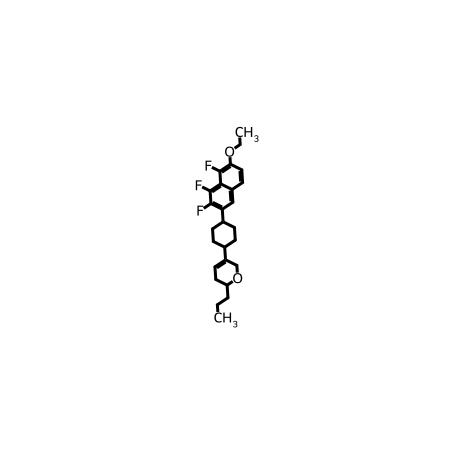 CCCC1CC=C(C2CCC(c3cc4ccc(OCC)c(F)c4c(F)c3F)CC2)CO1